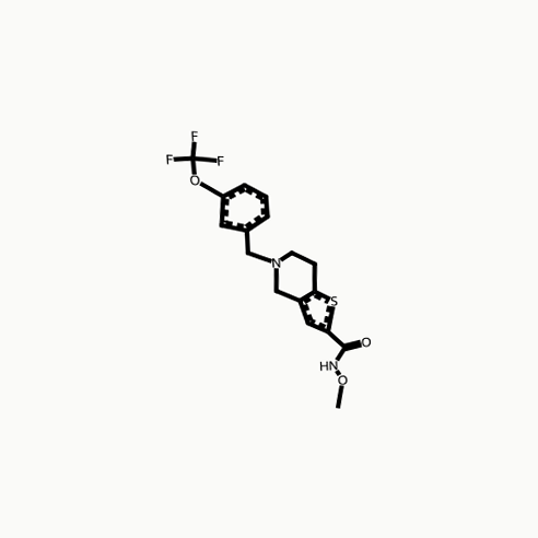 CONC(=O)c1cc2c(s1)CCN(Cc1cccc(OC(F)(F)F)c1)C2